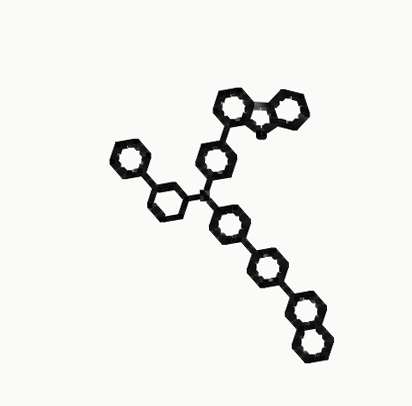 C1=CC(c2ccccc2)=CC(N(c2ccc(-c3ccc(-c4ccc5ccccc5c4)cc3)cc2)c2ccc(-c3cccc4c3oc3ccccc34)cc2)C1